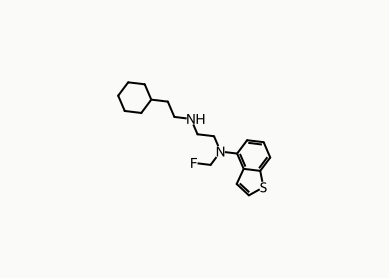 FCN(CCNCCC1CCCCC1)c1cccc2sccc12